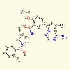 Nc1ncnn2c(-c3ccc(OCC(F)(F)F)c(C(=O)N[C@@H]4CN(C(=O)c5ccccc5F)C[C@@H]4F)c3)cc(C(F)(F)F)c12